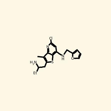 CCC(N)Cc1sc2c(NCc3ccco3)cc(Cl)nc2c1C